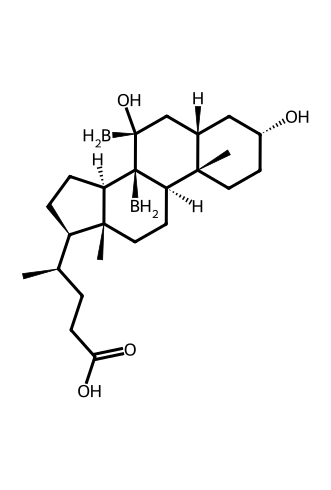 B[C@@]12[C@H](CC[C@]3(C)[C@@H]([C@H](C)CCC(=O)O)CC[C@H]31)[C@@]1(C)CC[C@@H](O)C[C@H]1C[C@@]2(B)O